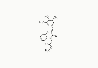 COC(=O)CN1C(=O)C(=Cc2cc(C)c(O)c(C)c2)Sc2ccccc21